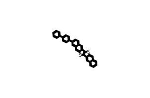 c1ccc(-c2ccc(-c3ccc4cc5c(cc4c3)sc3c4cc6ccccc6cc4sc53)cc2)cc1